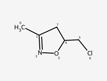 CC1=NOC(CCl)C1